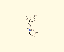 C=CC[Si](CC)(CC)CCCN1CCCCC1